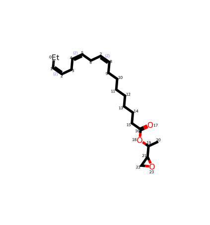 CC/C=C\C/C=C\C/C=C\CCCCCCCC(=O)OC(C)C1CO1